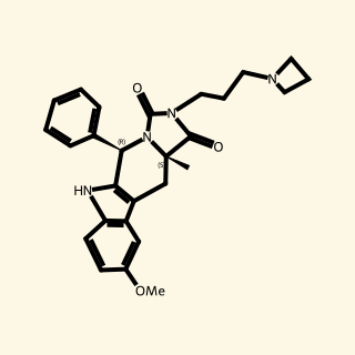 COc1ccc2[nH]c3c(c2c1)C[C@@]1(C)C(=O)N(CCCN2CCC2)C(=O)N1[C@@H]3c1ccccc1